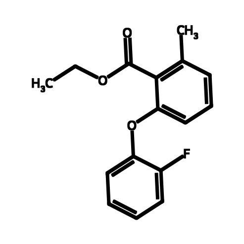 CCOC(=O)c1c(C)cccc1Oc1ccccc1F